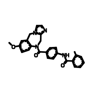 COc1ccc2c(c1)Cn1ccnc1CN2C(=O)c1ccc(NC(=O)c2ccccc2C)cc1